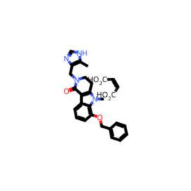 Cc1[nH]cnc1CN1CCc2c(c3cccc(OCc4ccccc4)c3n2C)C1=O.O=C(O)/C=C\C(=O)O